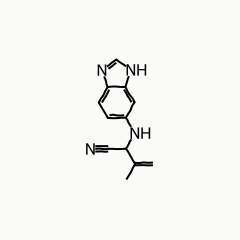 C=C(C)C(C#N)Nc1ccc2nc[nH]c2c1